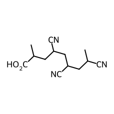 CC(C#N)CC(C#N)CC(C#N)CC(C)C(=O)O